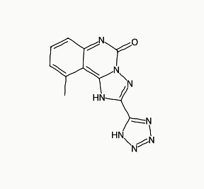 Cc1cccc2nc(=O)n3nc(-c4nnn[nH]4)[nH]c3c12